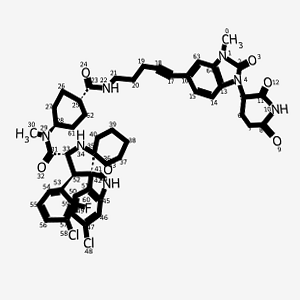 Cn1c(=O)n(C2CCC(=O)NC2=O)c2ccc(C#CCCCNC(=O)[C@H]3CC[C@H](N(C)C(=O)[C@@H]4NC5(CCCCC5)[C@@]5(C(=O)Nc6cc(Cl)ccc65)[C@H]4c4cccc(Cl)c4F)CC3)cc21